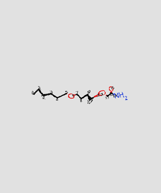 CCCCCCOCCCCOCC(N)=O